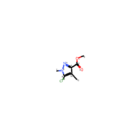 COC(=O)c1nn(C)c(Cl)c1C